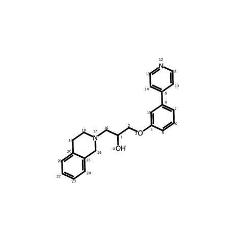 OC(COc1cccc(-c2ccncc2)c1)CN1CCc2ccccc2C1